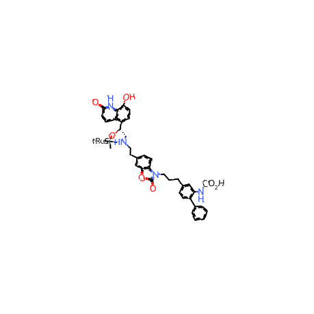 CC(C)(C)[Si](C)(C)O[C@@H](CNCCc1ccc2c(c1)oc(=O)n2CCCc1ccc(-c2ccccc2)c(NC(=O)O)c1)c1ccc(O)c2[nH]c(=O)ccc12